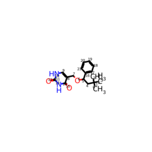 CC(C)(C)CC(OCc1c[nH]c(=O)[nH]c1=O)c1ccccc1